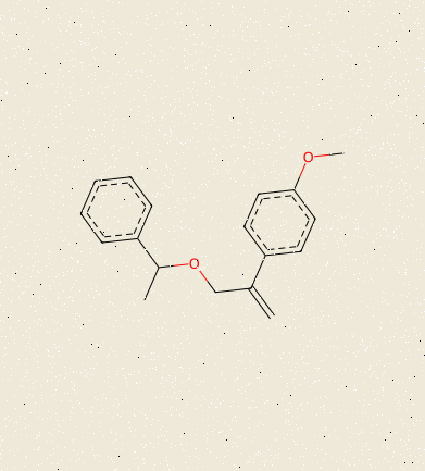 C=C(COC(C)c1ccccc1)c1ccc(OC)cc1